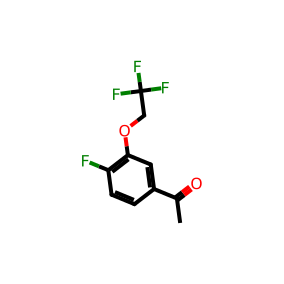 CC(=O)c1ccc(F)c(OCC(F)(F)F)c1